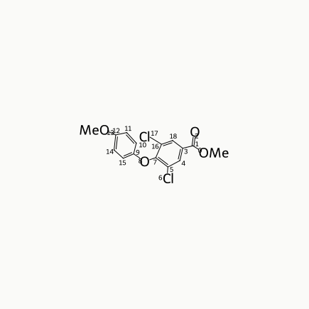 COC(=O)c1cc(Cl)c(Oc2ccc(OC)cc2)c(Cl)c1